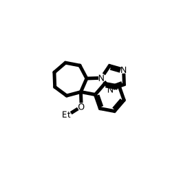 CCOC1(c2ccccc2)CCCCCC1n1cncn1